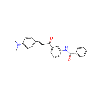 CN(C)c1ccc(/C=C/C(=O)c2cccc(NC(=O)c3ccccc3)c2)cc1